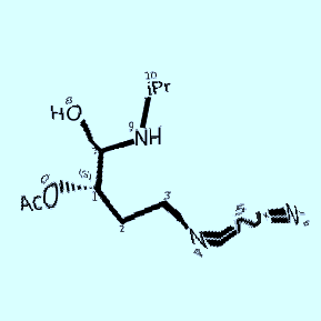 CC(=O)O[C@@H](CCN=[N+]=[N-])C(O)NC(C)C